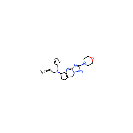 C=CCN(CC=C)C1CCC2=C1N=C1N=C(N3CCOCC3)NN1C2